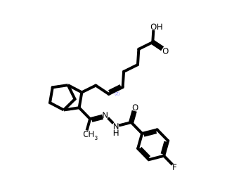 CC(=NNC(=O)c1ccc(F)cc1)C1C2CCC(C2)C1C/C=C\CCCC(=O)O